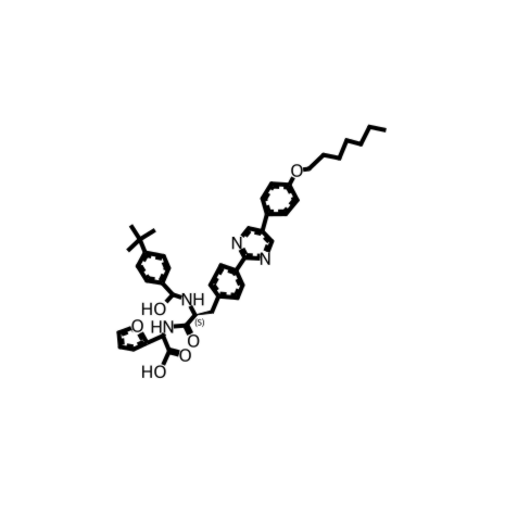 CCCCCCCOc1ccc(-c2cnc(-c3ccc(C[C@H](NC(O)c4ccc(C(C)(C)C)cc4)C(=O)NC(C(=O)O)c4ccco4)cc3)nc2)cc1